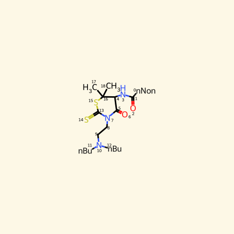 CCCCCCCCCC(=O)NC1C(=O)N(CCN(CCCC)CCCC)C(=S)SC1(C)C